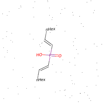 CCCCCCC=CP(=O)(O)C=CCCCCCC